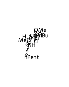 CCCCC[C@H]1CC[C@H](c2ccc(-c3ccc(C(=O)Nc4ccc(-c5cc6c(cc5OC)C(C)(C)c5c7c(c8c(Cl)cc(Cl)cc8c5-6)OC(c5ccc(OC)cc5)(c5ccc(OCCCC)cc5)C=C7)cc4)cc3)cc2)CC1